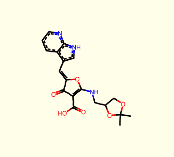 CC1(C)OCC(CNC2=C(C(=O)O)C(=O)C(=Cc3c[nH]c4ncccc34)O2)O1